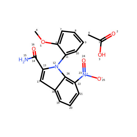 CC(=O)O.COc1ccccc1-n1c(C(N)=O)cc2cccc([N+](=O)[O-])c21